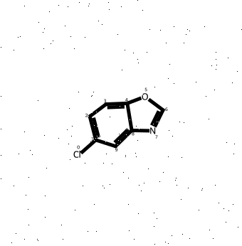 Clc1ccc2o[c]nc2c1